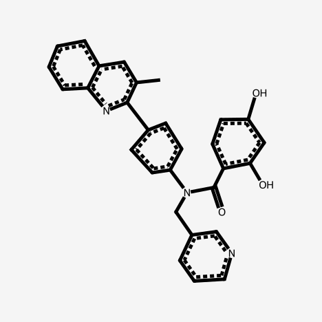 Cc1cc2ccccc2nc1-c1ccc(N(Cc2cccnc2)C(=O)c2ccc(O)cc2O)cc1